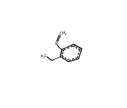 C=Nc1ccccc1CC